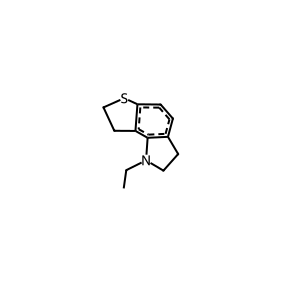 CCN1CCc2ccc3c(c21)CCS3